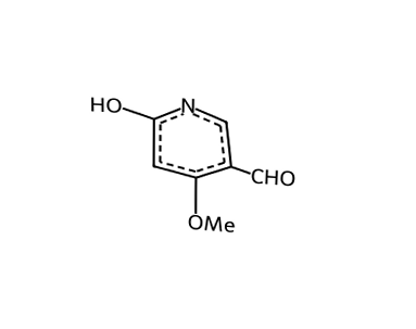 COc1cc(O)ncc1C=O